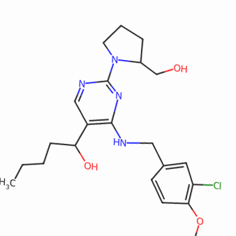 CCCCC(O)c1cnc(N2CCCC2CO)nc1NCc1ccc(OC)c(Cl)c1